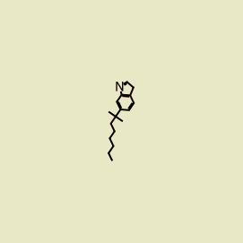 CCCCCCC(C)(C)c1ccc2c(c1)N=CC2